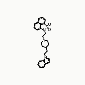 O=S1(=O)c2cccc3cccc(c23)N1CCN1CCC(CCn2ccc3ccccc32)CC1